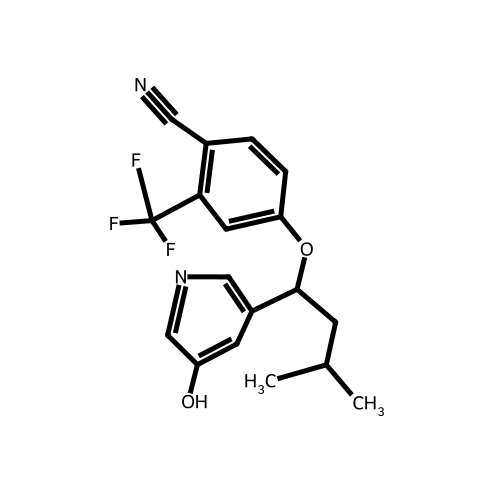 CC(C)CC(Oc1ccc(C#N)c(C(F)(F)F)c1)c1cncc(O)c1